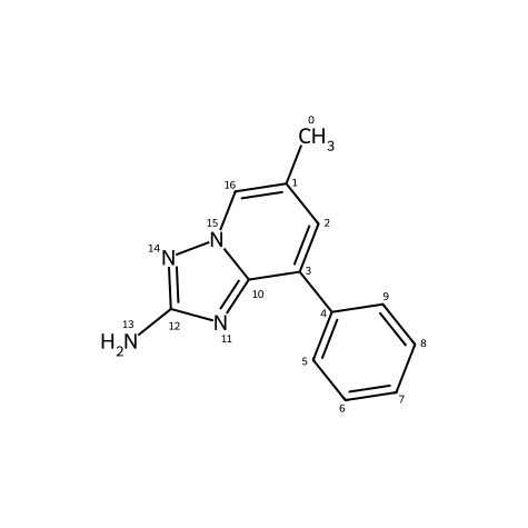 Cc1cc(-c2ccccc2)c2nc(N)nn2c1